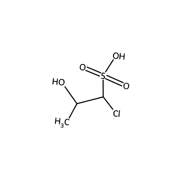 CC(O)C(Cl)S(=O)(=O)O